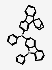 c1ccc(N(c2ccc3c(c2)C2(CC4CCC2C4)c2ccccc2-3)c2ccc3c4ccccc4n(-c4ccccc4)c3c2)cc1